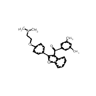 Cc1cc(C)cc(C(=O)c2c(-c3ccc(OCCN(C)C)cc3)oc3ccccc23)c1